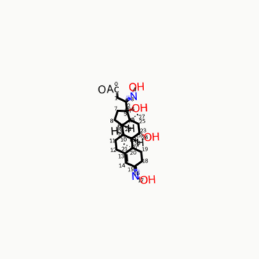 CC(=O)OC/C(=N\O)[C@@]1(O)CC[C@H]2[C@@H]3CCC4=C/C(=N/O)CC[C@]4(C)[C@H]3[C@@H](O)C[C@@]21C